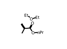 C=C(C)C(=O)OCCC.CCOCC